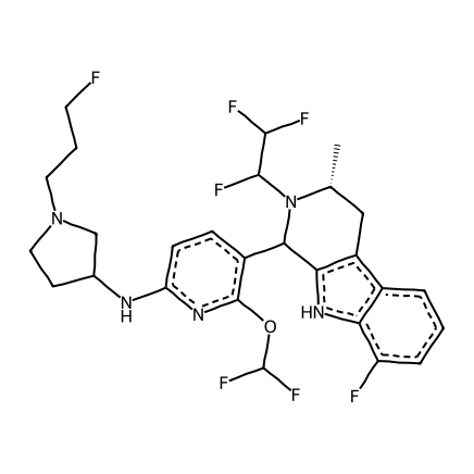 C[C@@H]1Cc2c([nH]c3c(F)cccc23)C(c2ccc(NC3CCN(CCCF)C3)nc2OC(F)F)N1C(F)C(F)F